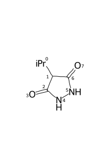 CC(C)C1C(=O)NNC1=O